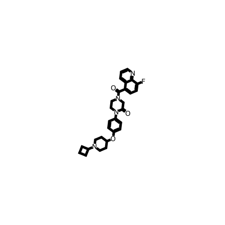 O=C(c1ccc(F)c2ncccc12)N1CCN(c2ccc(OC3CCN(C4CCC4)CC3)cc2)C(=O)C1